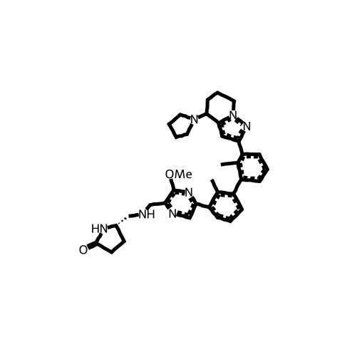 COc1nc(-c2cccc(-c3cccc(-c4cc5n(n4)CCCC5N4CCCC4)c3C)c2C)cnc1CNC[C@@H]1CCC(=O)N1